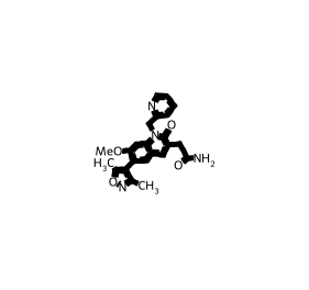 COc1cc2c(cc1-c1c(C)noc1C)cc(CC(N)=O)c(=O)n2Cc1ccccn1